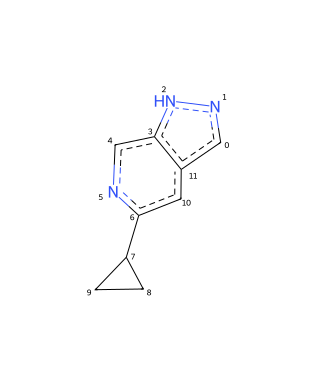 c1n[nH]c2cnc(C3CC3)cc12